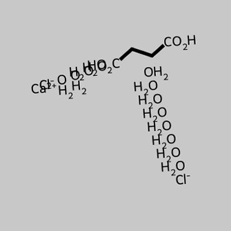 O.O.O.O.O.O.O.O.O.O.O.O.O=C(O)CCC(=O)O.[Ca+2].[Cl-].[Cl-]